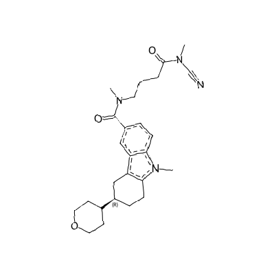 CN(C#N)C(=O)CCCN(C)C(=O)c1ccc2c(c1)c1c(n2C)CC[C@@H](C2CCOCC2)C1